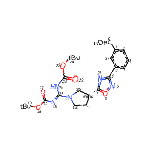 CCCCCCCCCCc1cccc(-c2noc([C@@H]3CCN(C(=NC(=O)OC(C)(C)C)NC(=O)OC(C)(C)C)C3)n2)c1